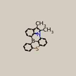 Cc1c(C)n2c3c(cccc13)B1c3ccccc3Sc3cccc-2c31